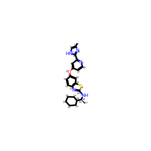 Cc1c[nH]c(-c2cc(Oc3ccc4nc(N[C@@H](C)C5CCCCC5)sc4c3)ccn2)n1